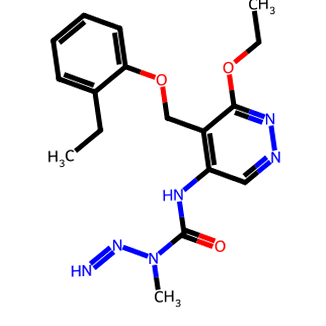 CCOc1nncc(NC(=O)N(C)N=N)c1COc1ccccc1CC